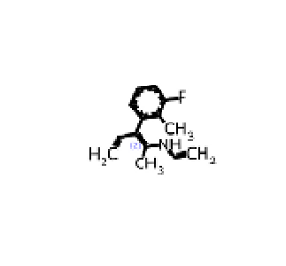 C=CN/C(C)=C(/C=C)c1cccc(F)c1C